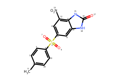 Cc1ccc(S(=O)(=O)c2cc3c(c([N+](=O)[O-])c2)[N]C(=O)N3)cc1